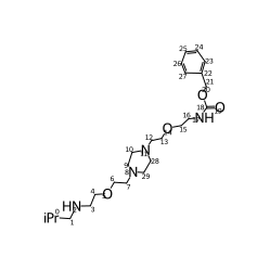 CC(C)CNCCOCCN1CCN(CCOCCNC(=O)OCc2ccccc2)CC1